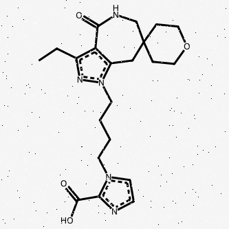 CCc1nn(CCCCn2ccnc2C(=O)O)c2c1C(=O)NCC1(CCOCC1)C2